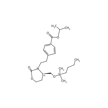 CCCC[Si](C)(C)OC[C@H]1CCOC(=O)N1CCc1ccc(C(=O)OC(C)C)cc1